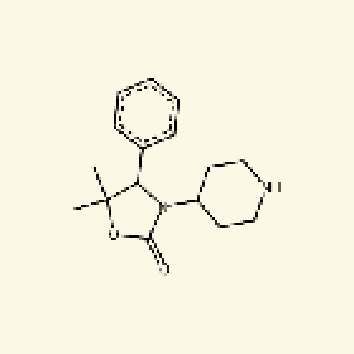 CC1(C)OC(=O)N(C2CCNCC2)C1c1ccccc1